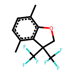 Cc1ccc(C)c2c1OCC2(C(F)(F)F)C(F)(F)F